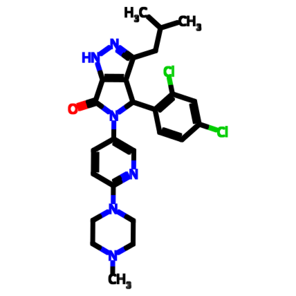 CC(C)Cc1n[nH]c2c1C(c1ccc(Cl)cc1Cl)N(c1ccc(N3CCN(C)CC3)nc1)C2=O